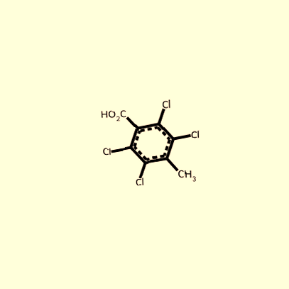 Cc1c(Cl)c(Cl)c(C(=O)O)c(Cl)c1Cl